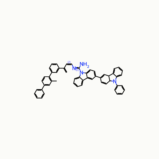 C=C(/C=C\N=C(/N)n1c2ccccc2c2cc(C3=CC4c5ccccc5N(c5ccccc5)C4C=C3)ccc21)c1cccc(-c2ccc(-c3ccccc3)cc2C)c1